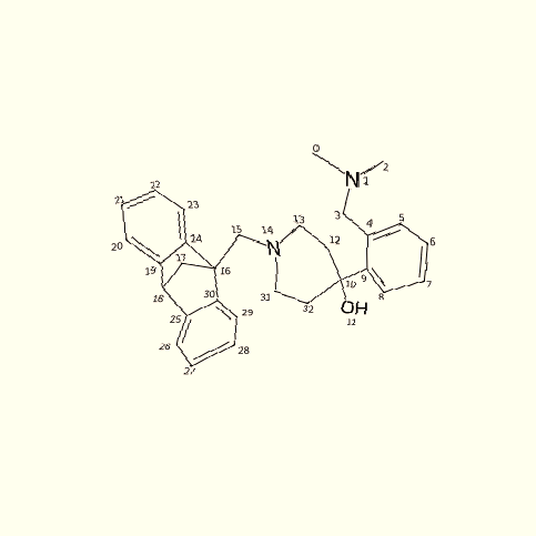 CN(C)Cc1ccccc1C1(O)CCN(CC23CC(c4ccccc42)c2ccccc23)CC1